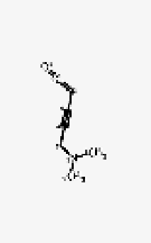 CN(C)CC#CC=C=O